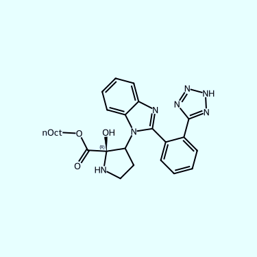 CCCCCCCCOC(=O)[C@@]1(O)NCCC1n1c(-c2ccccc2-c2nn[nH]n2)nc2ccccc21